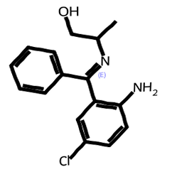 CC(CO)/N=C(\c1ccccc1)c1cc(Cl)ccc1N